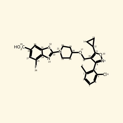 Cc1cccc(Cl)c1-c1noc(C2CC2)c1COC1CCN(c2nc3c(F)cc(C(=O)O)cc3s2)CC1